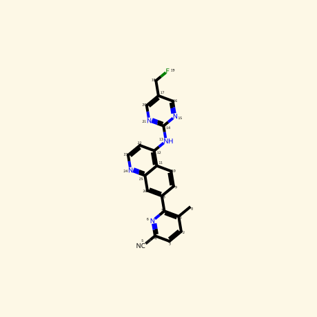 Cc1ccc(C#N)nc1-c1ccc2c(Nc3ncc(CF)cn3)ccnc2c1